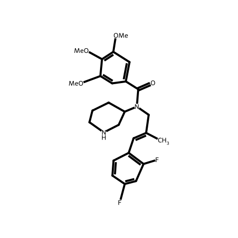 COc1cc(C(=O)N(CC(C)=Cc2ccc(F)cc2F)C2CCCNC2)cc(OC)c1OC